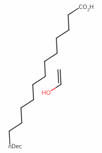 C=CO.CCCCCCCCCCCCCCCCCCCCCC(=O)O